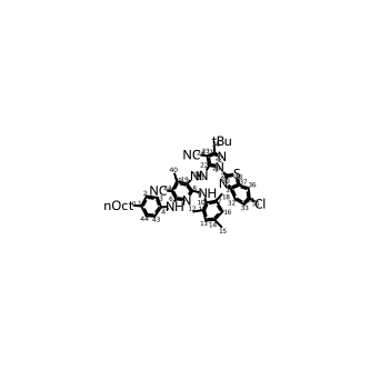 CCCCCCCCc1ccc(Nc2nc(Nc3c(C)cc(C)cc3C)c(N=Nc3c(C#N)c(C(C)(C)C)nn3-c3nc4ccc(Cl)cc4s3)c(C)c2C#N)cc1